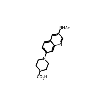 CC(=O)Nc1cnc2cc(N3CCN(C(=O)O)CC3)ccc2c1